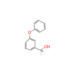 C[C@@H](O)c1cccc(Oc2ccccc2)c1